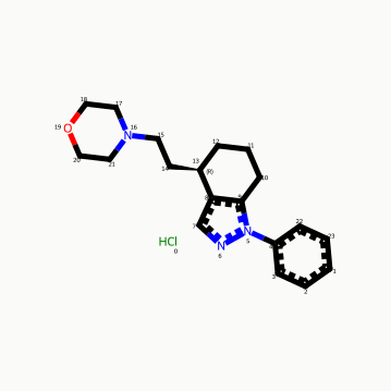 Cl.c1ccc(-n2ncc3c2CCC[C@@H]3CCN2CCOCC2)cc1